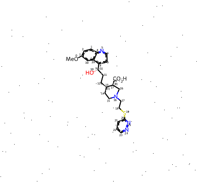 COc1ccc2nccc([C@@H](O)CC[C@@H]3CCN(CCSc4cccnn4)C[C@@H]3C(=O)O)c2c1